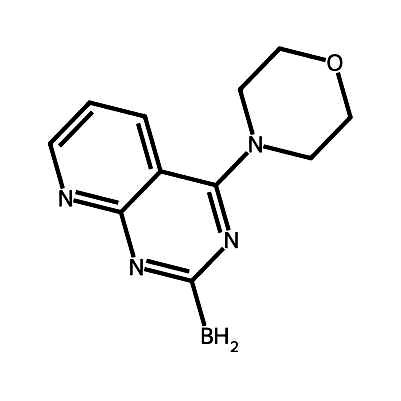 Bc1nc(N2CCOCC2)c2cccnc2n1